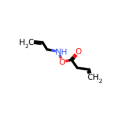 C=CCNOC(=O)CC=C